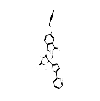 CC#CCOc1ccc2c(c1)C(=O)N(C[C@@]1(c3ccc(-c4ccccn4)s3)NC(=O)NC1=O)C2